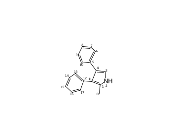 Cc1[nH]cc(-c2ccccc2)c1-c1ccccc1